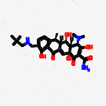 C[C@H]1c2ccc(CNCC(C)(C)C)c(O)c2C(=O)C2=C[C@]3(O)C(=O)C(C(N)=O)=C(O)[C@@H](N(C)C)[C@@H]3[C@@H](O)[C@@H]21